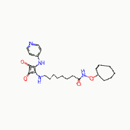 O=C(CCCCCCCNc1c(Nc2ccncc2)c(=O)c1=O)NOC1CCCCCC1